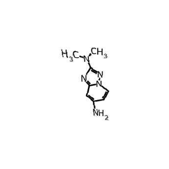 CN(C)c1nc2cc(N)ccn2n1